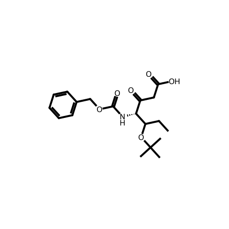 CCC(OC(C)(C)C)[C@H](NC(=O)OCc1ccccc1)C(=O)CC(=O)O